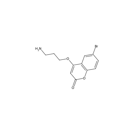 NCCCOc1cc(=O)oc2ccc(Br)cc12